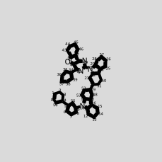 C1=CCCC(c2cccc(-n3c4ccccc4c4cc(C5=Cc6c(c7ccccc7n6-c6nc(-c7ccccc7)c7oc8ccccc8c7n6)CC5)ccc43)c2)=C1